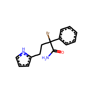 NC(=O)C(Br)(CCc1ccc[nH]1)c1ccccc1